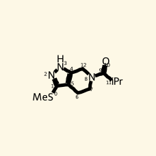 CSc1n[nH]c2c1CCN(C(=O)C(C)C)C2